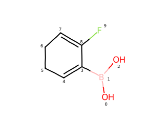 OB(O)C1=CCCC=C1F